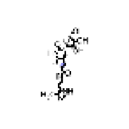 Cc1nc[nH]c1CCNC(=O)/C=C/c1cn([C@@H]2O[C@H](CO)C(O)[C@@H]2O)c(=O)[nH]c1=O